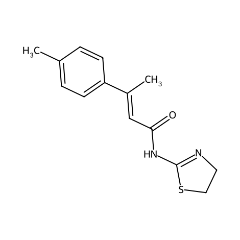 C/C(=C\C(=O)NC1=NCCS1)c1ccc(C)cc1